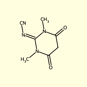 CN1C(=O)CC(=O)N(C)C1=NC#N